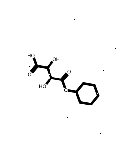 O=C(O)C(O)C(O)C(=O)OC1CCCCC1